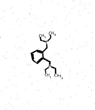 CCP(CC)Cc1ccccc1CP(CC)CC